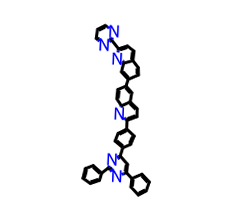 c1ccc(-c2cc(-c3ccc(-c4ccc5cc(-c6ccc7ccc(-c8ncccn8)nc7c6)ccc5n4)cc3)nc(-c3ccccc3)n2)cc1